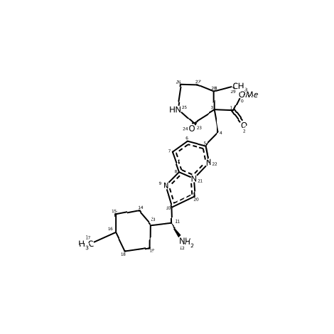 COC(=O)C1(Cc2ccc3nc([C@@H](N)C4CCC(C)CC4)cn3n2)C(=O)NCCC1C